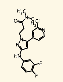 CN(C)C(=O)CCn1nc(Nc2ccc(F)c(F)c2)cc1-c1ccnc(Cl)c1